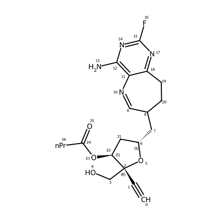 C#C[C@]1(CO)O[C@@H](CC2C=Nc3c(N)nc(F)nc3CC2)C[C@@H]1OC(=O)CCC